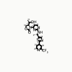 C[C@H](Nc1nccc(N2C(=O)OCC2[C@@H](C)O)n1)c1cnc(-c2ccnc(C(F)(F)F)c2)s1